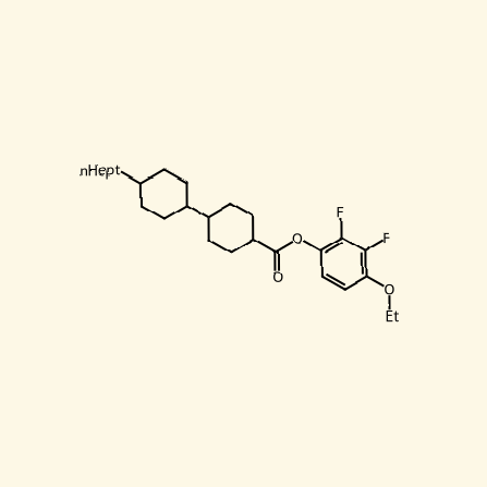 CCCCCCCC1CCC(C2CCC(C(=O)Oc3ccc(OCC)c(F)c3F)CC2)CC1